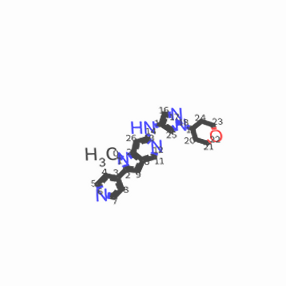 Cn1c(-c2ccncc2)cc2cnc(Nc3cnn(C4CCOCC4)c3)cc21